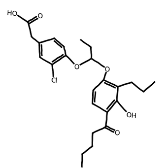 CCCCC(=O)c1ccc(OC(CC)Oc2ccc(CC(=O)O)cc2Cl)c(CCC)c1O